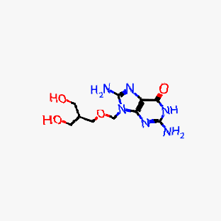 Nc1nc2c(nc(N)n2COCC(CO)CO)c(=O)[nH]1